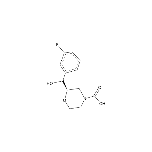 O=C(O)N1CCO[C@@H](C(O)c2cccc(F)c2)C1